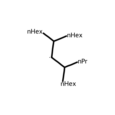 CCCCCCC([CH]C(CCCCCC)CCCCCC)CCC